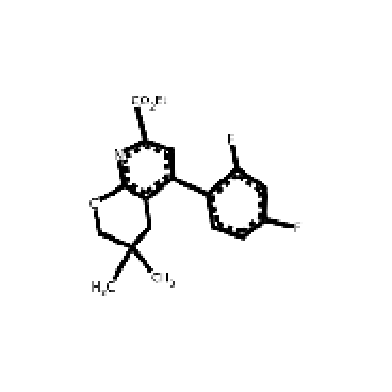 CCOC(=O)c1cc(-c2ccc(F)cc2F)c2c(n1)OCC(C)(C)C2